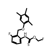 Cc1cc(C)c(OCc2c(F)cccc2NC(=S)OCF)cc1C